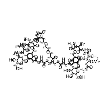 CCC(C)[C@@H]([C@@H](CC(N)=O)OC)N(C)C(=O)CNC(=O)[C@H](C(C)C)N(C)C(=O)OCc1ccc(O[C@H]2C[C@@H](O)[C@@H](O)[C@@H](CO)O2)c2cc(CNC(=O)CCN(CCC(=O)NCc3cc4c(O[C@H]5C[C@@H](O)[C@@H](O)[C@@H](CO)O5)ccc(COC(=O)N(C)[C@H](C(=O)N[C@H](C(=O)NC)C(C)C)C(C)C)c4o3)C(=O)CCOCCOCCN3C(=O)C=CC3=O)oc12